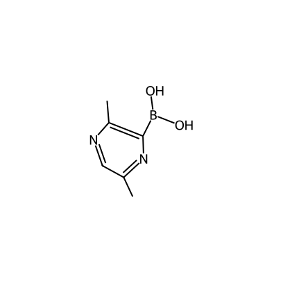 Cc1cnc(C)c(B(O)O)n1